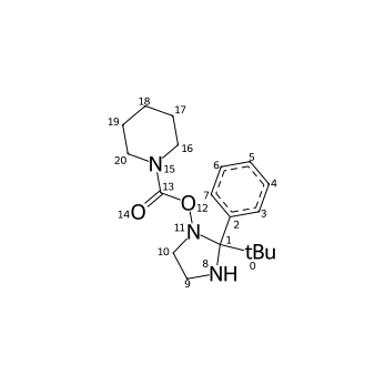 CC(C)(C)C1(c2ccccc2)NCCN1OC(=O)N1CCCCC1